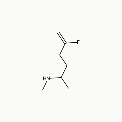 C=C(F)CCC(C)NC